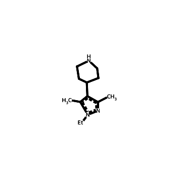 CCn1nc(C)c(C2CCNCC2)c1C